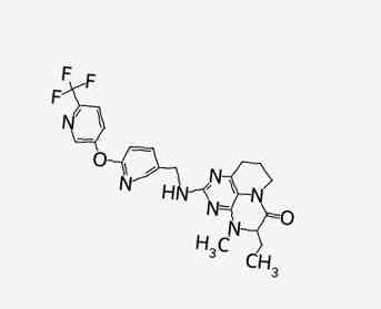 CCC1C(=O)N2CCCc3nc(NCc4ccc(Oc5ccc(C(F)(F)F)nc5)nc4)nc(c32)N1C